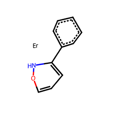 C1=CONC(c2ccccc2)=C1.[Er]